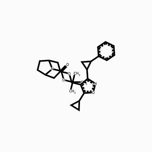 CC(C)(C)OC(=O)N1C2CCC1CC(OCc1c(C3CC3c3ccccc3)noc1C1CC1)C2